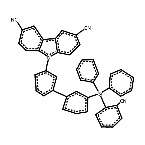 N#Cc1ccc2c(c1)c1cc(C#N)ccc1n2-c1cccc(-c2cccc([Si](c3ccccc3)(c3ccccc3)c3ccccc3C#N)c2)c1